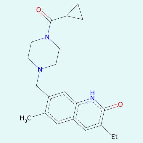 CCc1cc2cc(C)c(CN3CCN(C(=O)C4CC4)CC3)cc2[nH]c1=O